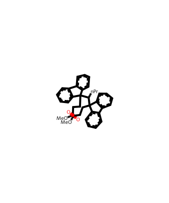 CCCC(C1(CCC(=O)OC)c2ccccc2-c2ccccc21)C1(CCC(=O)OC)c2ccccc2-c2ccccc21